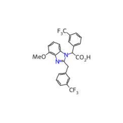 COc1cccc2c1nc(Cc1cccc(C(F)(F)F)c1)n2C(C(=O)O)c1cccc(C(F)(F)F)c1